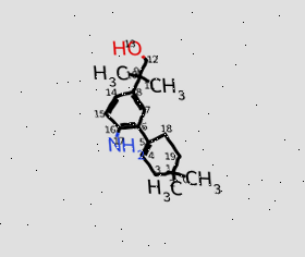 CC1(C)CC=C(c2cc(C(C)(C)CO)ccc2N)CC1